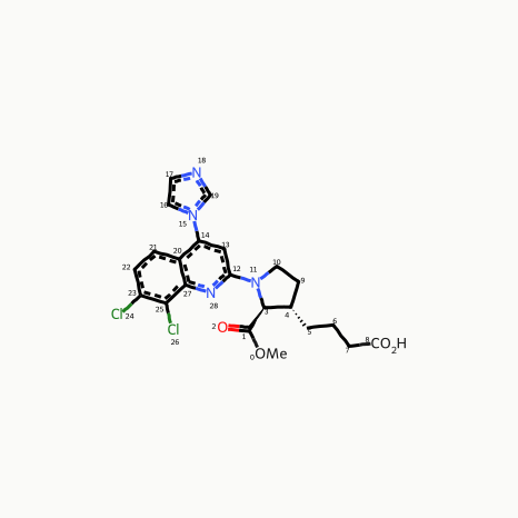 COC(=O)[C@@H]1[C@@H](CCCC(=O)O)CCN1c1cc(-n2ccnc2)c2ccc(Cl)c(Cl)c2n1